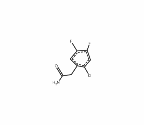 NC(=O)Cc1cc(F)c(F)cc1Cl